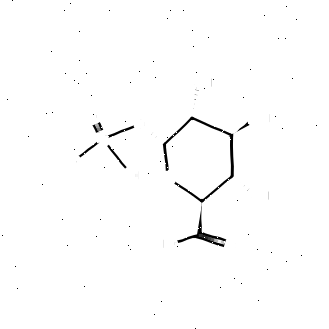 O=C(O)[C@H]1O[C@H](OP(=O)(O)O)[C@H](O)[C@@H](O)[C@@H]1O